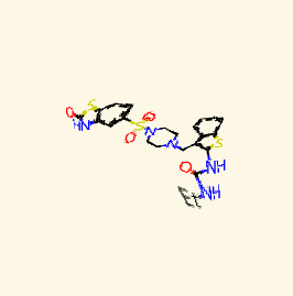 CCNC(=O)Nc1sc2ccccc2c1CN1CCN(S(=O)(=O)c2ccc3sc(=O)[nH]c3c2)CC1